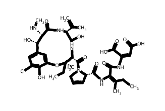 C=C(C)[C@@H]1NC(=O)[C@@H](NC)[C@@H](O)c2cc(Cl)c(O)c(c2)O[C@](C)(CC)[C@@H](C(=O)N2CC=C[C@H]2C(=O)N/C(C(=O)N/C(=C/C(=O)O)C(=O)O)=C(\C)CC)NC1O